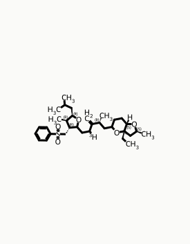 [3H]C(CC1O[C@H](CC(C)C)[C@H](C)[C@H]1CS(=O)(=O)c1ccccc1)C(=C)[C@H](C)CC1CC[C@@H]2O[C@@H](C)C[C@]2(CC)O1